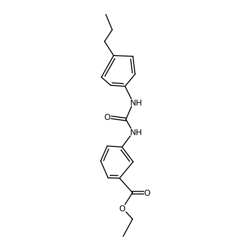 CCCc1ccc(NC(=O)Nc2cccc(C(=O)OCC)c2)cc1